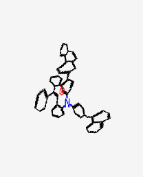 c1ccc(-c2c(-c3ccccc3N(c3ccc(-c4ccc5c(ccc6ccccc65)c4)cc3)c3ccc(-c4cccc5ccccc45)cc3)oc3ccccc23)cc1